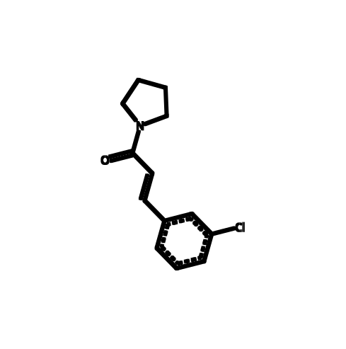 O=C(C=Cc1cccc(Cl)c1)N1CCCC1